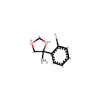 CC1(c2ccccc2I)COCO1